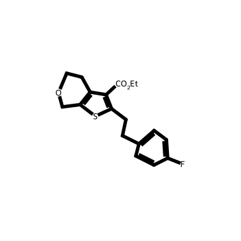 CCOC(=O)c1c(CCc2ccc(F)cc2)sc2c1CCOC2